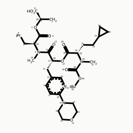 CC(C)C[C@@H](C(=O)O[C@H](C)C(=O)O)N(C)C(=O)[C@@H](Cc1ccc(N2CCOCC2)nc1)OC(=O)[C@H](CCC1CC1)N(C)C(=O)OC(C)(C)C